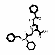 O=C(Nc1cc(C(=O)O)n(CC(=O)N(OCc2ccccc2)C2CCCCC2)n1)c1ccccc1